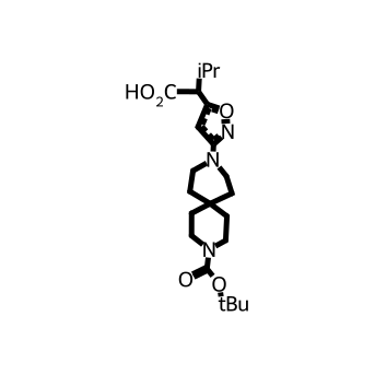 CC(C)C(C(=O)O)c1cc(N2CCC3(CCN(C(=O)OC(C)(C)C)CC3)CC2)no1